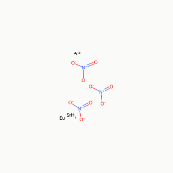 O=[N+]([O-])[O-].O=[N+]([O-])[O-].O=[N+]([O-])[O-].[Eu].[Pr+3].[SrH2]